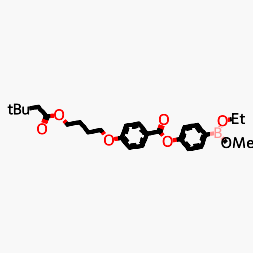 CCOB(OC)c1ccc(OC(=O)c2ccc(OCCCCOC(=O)CC(C)(C)C)cc2)cc1